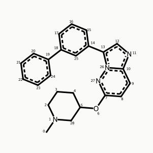 CN1CCCC(Oc2ccc3ncc(-c4cccc(-c5ccccc5)c4)n3n2)C1